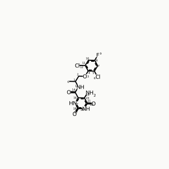 CC(COc1c(Cl)cc(F)cc1Cl)NC(=O)c1[nH]c(=O)[nH]c(=O)c1N